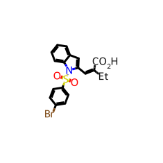 CCC(=Cc1cc2ccccc2n1S(=O)(=O)c1ccc(Br)cc1)C(=O)O